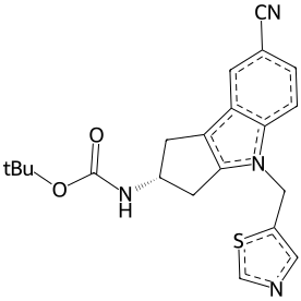 CC(C)(C)OC(=O)N[C@@H]1Cc2c(n(Cc3cncs3)c3ccc(C#N)cc23)C1